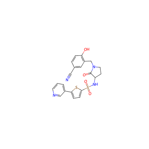 N#Cc1ccc(O)c(CN2CCC(NS(=O)(=O)c3ccc(-c4cccnc4)s3)C2=O)c1